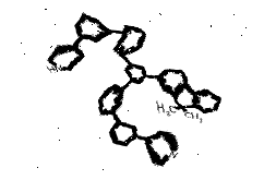 CC1(C)c2ccccc2-c2ccc(-c3cc(-c4cccc(-c5cccc(C6=CCNC=C6)c5)c4)cc(-c4cccc(C5C=CC=C(c6ccncc6)C5)c4)c3)cc21